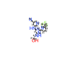 CC(C)(O)CNc1cc(Nc2cncc(C#N)c2)nc(-c2cccc(C(F)(F)F)n2)n1